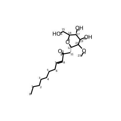 CCCCCCC/C=C/C(=O)C[C@@H]1OC(CO)[C@@H](O)C(O)C1OC